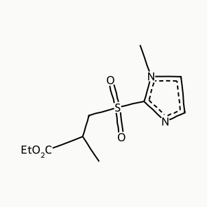 CCOC(=O)C(C)CS(=O)(=O)c1nccn1C